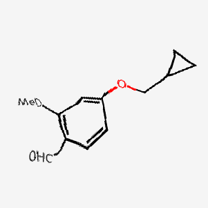 COc1cc(OCC2CC2)ccc1C=O